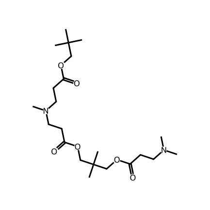 CN(C)CCC(=O)OCC(C)(C)COC(=O)CCN(C)CCC(=O)OCC(C)(C)C